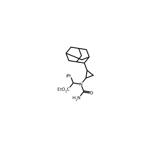 CCOC(=O)C(C(C)C)N(C(N)=O)C1CC1C1C2CC3CC(C2)CC1C3